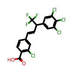 O=C(O)c1ccc(C=CC(c2cc(Cl)c(Cl)c(Cl)c2)C(F)(F)F)cc1Cl